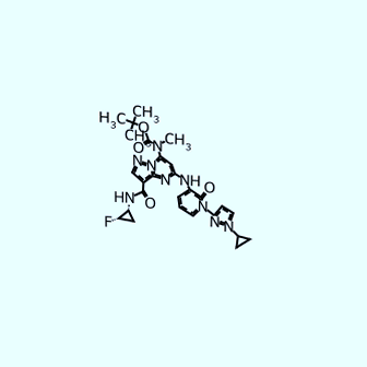 CN(C(=O)OC(C)(C)C)c1cc(Nc2cccn(-c3ccn(C4CC4)n3)c2=O)nc2c(C(=O)N[C@@H]3C[C@@H]3F)cnn12